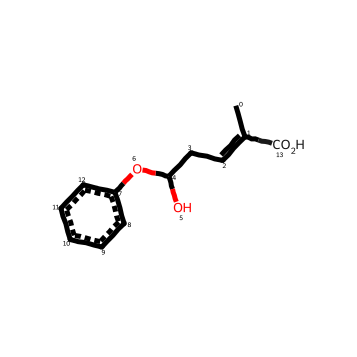 CC(=CCC(O)Oc1ccccc1)C(=O)O